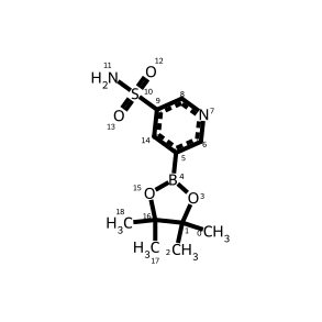 CC1(C)OB(c2cncc(S(N)(=O)=O)c2)OC1(C)C